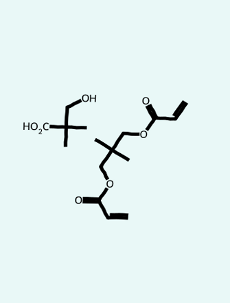 C=CC(=O)OCC(C)(C)COC(=O)C=C.CC(C)(CO)C(=O)O